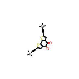 C[Si](C)(C)C#Cc1cc2c(s1)-c1sc(C#C[Si](C)(C)C)cc1C(=O)C2=O